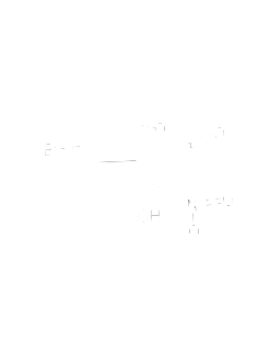 O=c1oc2ccc(Br)cc2c(O)c1[N+](=O)[O-]